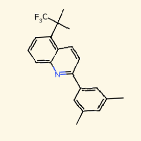 Cc1cc(C)cc(-c2ccc3c(C(C)(C)C(F)(F)F)cccc3n2)c1